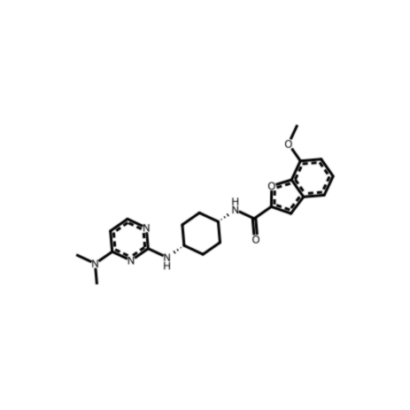 COc1cccc2cc(C(=O)N[C@H]3CC[C@@H](Nc4nccc(N(C)C)n4)CC3)oc12